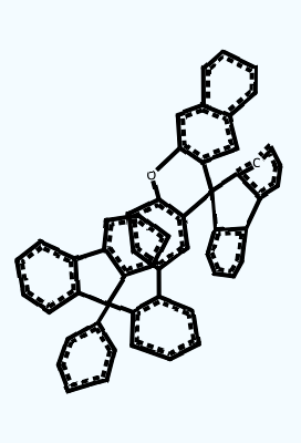 c1ccc(C2(c3ccccc3-c3ccc4c(c3)C3(c5cc6ccccc6cc5O4)c4ccccc4-c4ccccc43)c3ccccc3-c3ccccc32)cc1